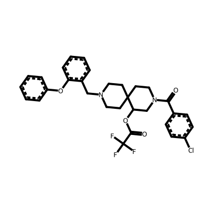 O=C(c1ccc(Cl)cc1)N1CCC2(CCN(Cc3ccccc3Oc3ccccc3)CC2)C(OC(=O)C(F)(F)F)C1